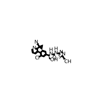 C#Cc1nnc(NC(=O)N[C@@H](CO)c2ccc(-c3cccnc3C3(C#N)CC3)c(Cl)c2)s1